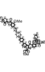 COc1cc(N2CC(N3CCN(c4ccc(-c5cnc6c(c5)c(C(=O)c5c(F)ccc(N(C(=O)OC(C)(C)C)S(=O)(=O)N7CC[C@@H](F)C7)c5F)cn6C(=O)OC(C)(C)C)cc4)CC3)C2)cc2c1C(=O)N(C1CCC(=O)NC1=O)C2